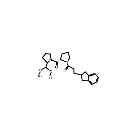 CCOC(OCC)C1CCCN1C(=O)[C@@H]1CCCN1C(=O)CCC1Cc2ccccc2C1